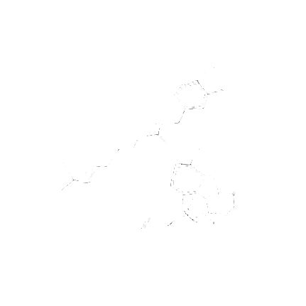 C=CCN1CC[C@]23c4c5ccc(O)c4O[C@H]2C(=O)CC[C@@]3(O)[C@H]1C5.COc1cc(CNC(=O)CCCC/C=C/C(C)C)ccc1O